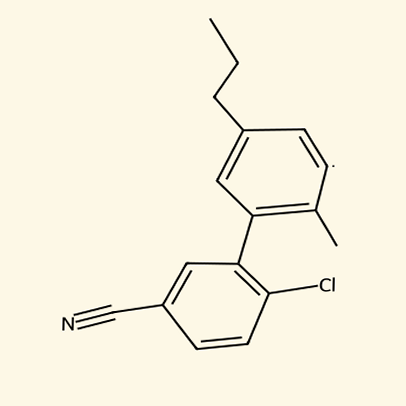 CCCc1c[c]c(C)c(-c2cc(C#N)ccc2Cl)c1